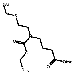 COC(=O)CCCN(CCSSC(C)(C)C)C(=O)OCN